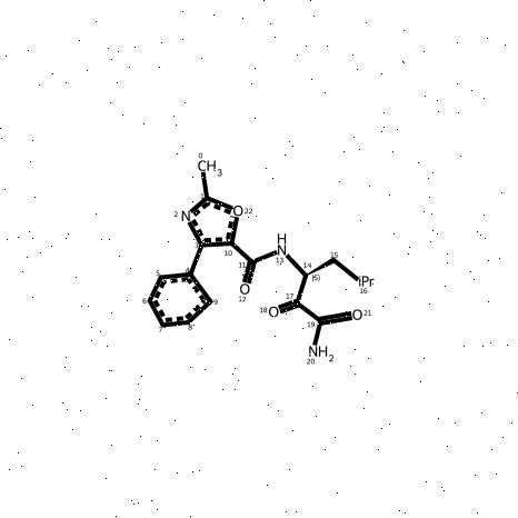 Cc1nc(-c2ccccc2)c(C(=O)N[C@@H](CC(C)C)C(=O)C(N)=O)o1